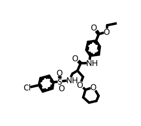 CCOC(=O)c1ccc(NC(=O)C(CNS(=O)(=O)c2ccc(Cl)cc2)COC2CCCCO2)cc1